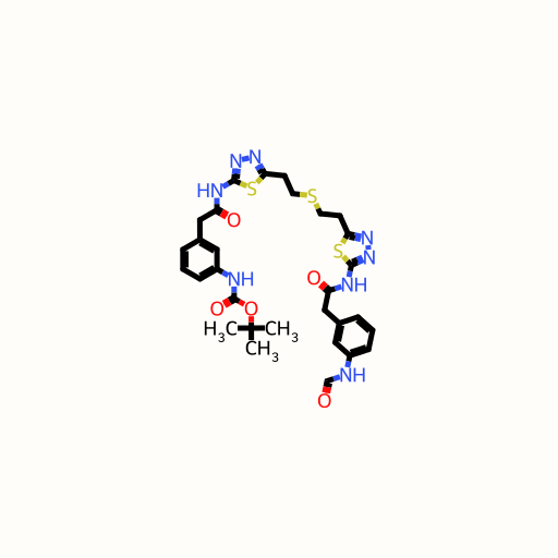 CC(C)(C)OC(=O)Nc1cccc(CC(=O)Nc2nnc(CCSCCc3nnc(NC(=O)Cc4cccc(NC=O)c4)s3)s2)c1